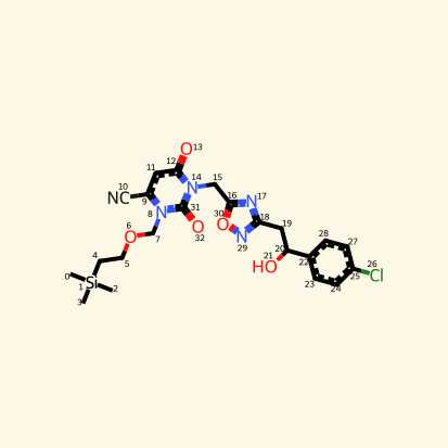 C[Si](C)(C)CCOCn1c(C#N)cc(=O)n(Cc2nc(CC(O)c3ccc(Cl)cc3)no2)c1=O